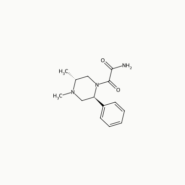 C[C@@H]1CN(C(=O)C(N)=O)[C@@H](c2ccccc2)CN1C